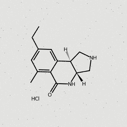 CCc1cc(C)c2c(c1)[C@H]1CNC[C@@H]1NC2=O.Cl